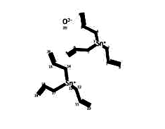 C=C[CH2][Sn+]([CH2]C=C)[CH2]C=C.C=C[CH2][Sn+]([CH2]C=C)[CH2]C=C.[O-2]